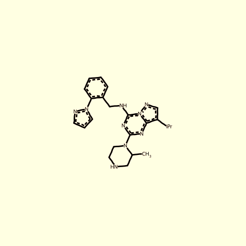 CC(C)c1cnn2c(NCc3ccccc3-n3cccn3)nc(N3CCNCC3C)nc12